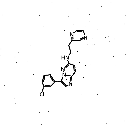 Clc1cccc(-c2cnc3ccc(NCCc4cnccn4)nn23)c1